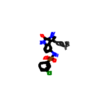 CCOC(=O)c1c[nH]c2c(=O)[nH]c3ccc(NS(=O)(=O)c4cccc(Cl)c4)cc3c12